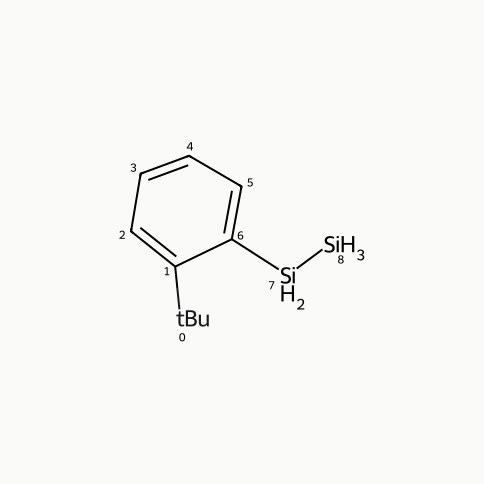 CC(C)(C)c1ccccc1[SiH2][SiH3]